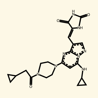 O=C1NC(=O)C(=Cc2cnn3c(NC4CC4)cc(N4CCN(C(=O)CC5CC5)CC4)nc23)N1